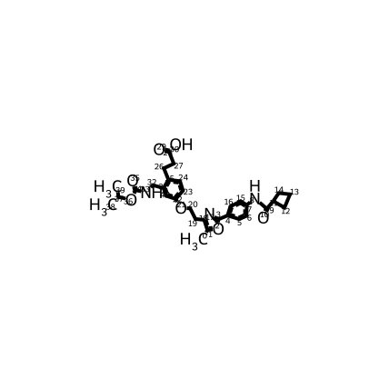 Cc1oc(-c2ccc(NC(=O)C3CCC3)cc2)nc1CCOc1ccc(CCC(=O)O)c(CNC(=O)OC(C)C)c1